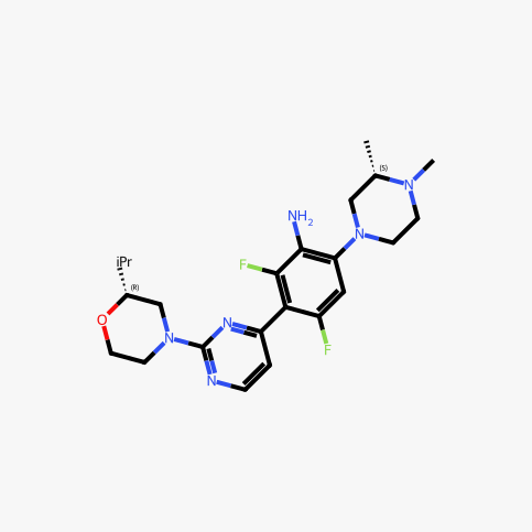 CC(C)[C@@H]1CN(c2nccc(-c3c(F)cc(N4CCN(C)[C@@H](C)C4)c(N)c3F)n2)CCO1